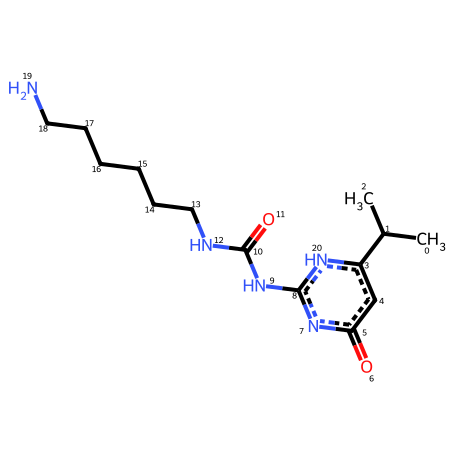 CC(C)c1cc(=O)nc(NC(=O)NCCCCCCN)[nH]1